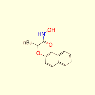 CCCCC(Oc1ccc2ccccc2c1)C(=O)NO